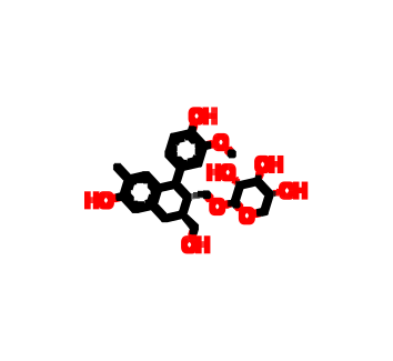 COc1cc(C2c3cc(C)c(O)cc3C[C@H](CO)[C@H]2CO[C@@H]2OC[C@@H](O)[C@H](O)[C@H]2O)ccc1O